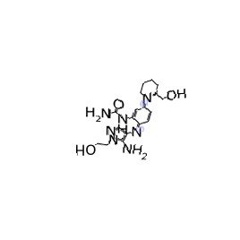 NC(=O)NC1=CC(=[N+]2\CCCCC2CO)/C=CC/1=N/c1cnn(CCO)c1N